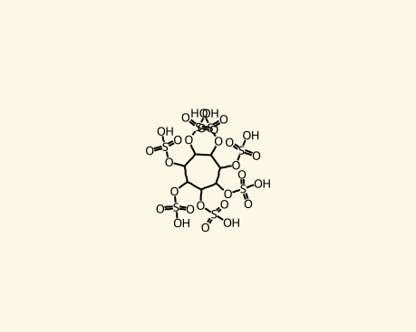 O=S(=O)(O)OC1C(OS(=O)(=O)O)C(OS(=O)(=O)O)C(OS(=O)(=O)O)C(OS(=O)(=O)O)C(OS(=O)(=O)O)C1OS(=O)(=O)O